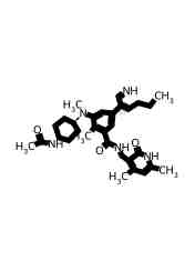 CCC/C=C(\C=N)c1cc(C(=O)NCc2c(C)cc(C)[nH]c2=O)c(C)c(N(C)[C@H]2CC[C@@H](NC(C)=O)CC2)c1